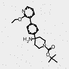 CCOc1ncccc1-c1ccc(C2(N)CCN(C(=O)OC(C)(C)C)CC2)cc1